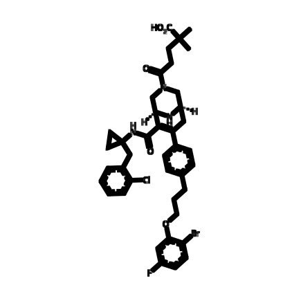 CC(C)(CCC(=O)N1C[C@H]2CC(c3ccc(CCCOc4cc(F)ccc4Br)cc3)=C(C(=O)NC3(Cc4ccccc4Cl)CC3)[C@@H](C1)N2)C(=O)O